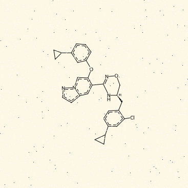 Clc1cc(C2CC2)ccc1C[C@@H]1CON=C(c2cc3ccnn3cc2Oc2cccc(C3CC3)c2)N1